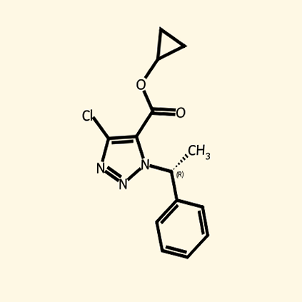 C[C@H](c1ccccc1)n1nnc(Cl)c1C(=O)OC1CC1